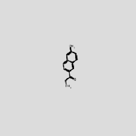 CCC(=O)c1ccc2cc(C)ccc2c1